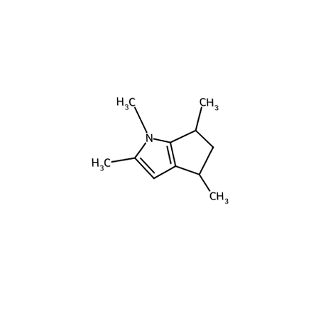 Cc1cc2c(n1C)C(C)CC2C